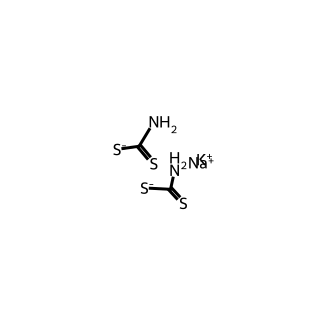 NC(=S)[S-].NC(=S)[S-].[K+].[Na+]